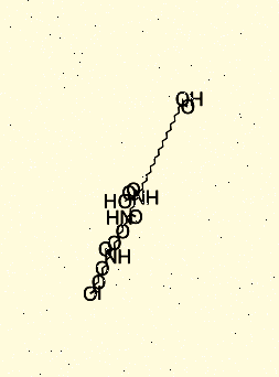 O=C(O)CCCCCCCCCCCCCCCCCCCCC(=O)NC(CCC(=O)NCCOCCOCC(=O)NCCOCCOCC(=O)I)C(=O)O